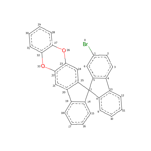 Brc1ccc2c(c1)C1(c3ccccc3-2)c2ccccc2-c2cc3c(cc21)Oc1ccccc1O3